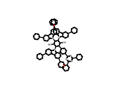 N#Cc1c(-c2ccc(-c3nc(-c4ccccc4)nc(-c4ccccc4)n3)cc2)c(-n2c3ccc(-c4ccccc4)cc3c3cc(-c4ccccc4)ccc32)c(C#N)c(-n2c3ccc(-c4ccccc4)cc3c3cc(-c4ccccc4)ccc32)c1-n1c2ccc(-c3ccccc3)cc2c2cc(-c3ccccc3)ccc21